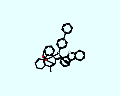 C#C/C=C1\C2=C(C)C3=C(C=CCC3)c3c1cccc3-c1ccc(N(c3ccc(-c4ccccc4)cc3)c3cccc4c3oc3ccccc34)cc12